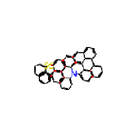 c1ccc(-c2cccc3cccc(-c4ccccc4N(c4ccccc4-c4cccc5c4sc4ccccc45)c4ccccc4-c4cccc5sc6ccccc6c45)c23)cc1